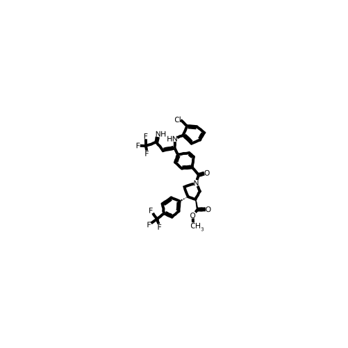 COC(=O)[C@@H]1CN(C(=O)c2ccc(/C(=C/C(=N)C(F)(F)F)Nc3ccccc3Cl)cc2)C[C@H]1c1ccc(C(F)(F)F)cc1